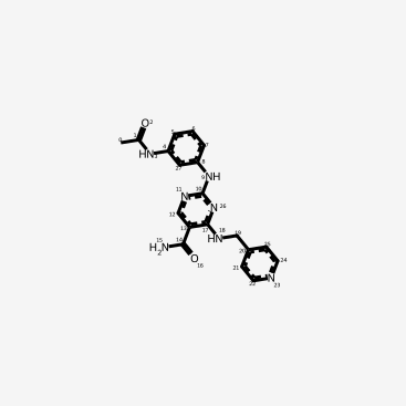 CC(=O)Nc1cccc(Nc2ncc(C(N)=O)c(NCc3ccncc3)n2)c1